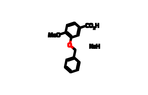 COc1ccc(C(=O)O)cc1OCc1ccccc1.[NaH]